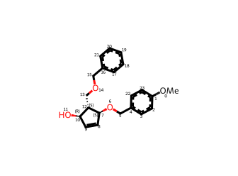 COc1ccc(CO[C@H]2C=C[C@@H](O)[C@@H]2COCc2ccccc2)cc1